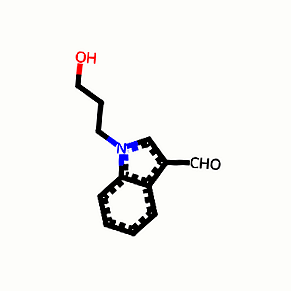 O=Cc1cn(CCCO)c2ccccc12